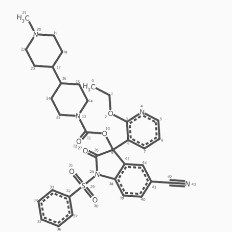 CCOc1ncccc1C1(OC(=O)N2CCC(C3CCN(C)CC3)CC2)C(=O)N(S(=O)(=O)c2ccccc2)c2ccc(C#N)cc21